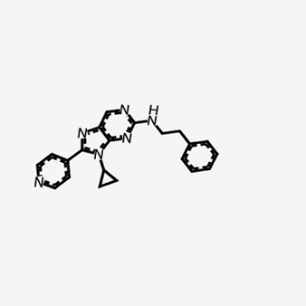 c1ccc(CCNc2ncc3nc(-c4ccncc4)n(C4CC4)c3n2)cc1